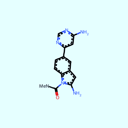 CNC(=O)n1c(N)cc2cc(-c3cc(N)ncn3)ccc21